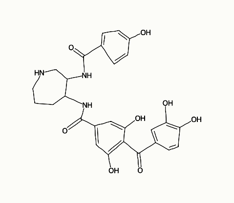 O=C(NC1CCCNCC1NC(=O)c1ccc(O)cc1)c1cc(O)c(C(=O)c2ccc(O)c(O)c2)c(O)c1